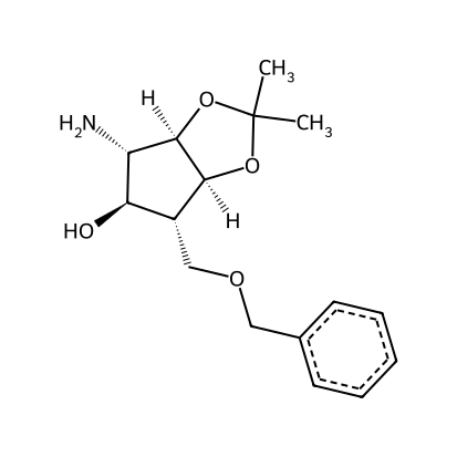 CC1(C)O[C@@H]2[C@@H](N)[C@H](O)[C@@H](COCc3ccccc3)[C@@H]2O1